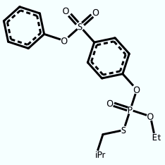 CCOP(=O)(Oc1ccc(S(=O)(=O)Oc2ccccc2)cc1)SCC(C)C